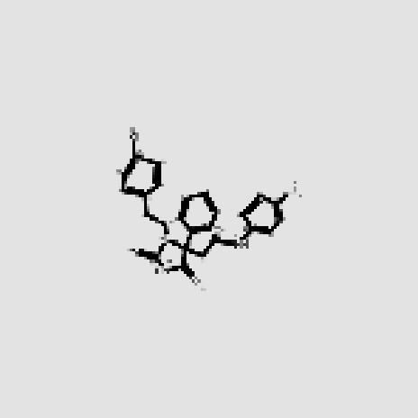 O=C(CC1(c2ccccc2)C(=O)NC(=S)N1CCc1ccc(Cl)cc1)Nc1ccc(C(F)(F)F)cc1